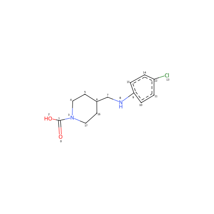 O=C(O)N1CCC(CNc2ccc(Cl)cc2)CC1